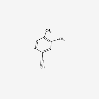 C#Cc1[c]cc(C)c(C)c1